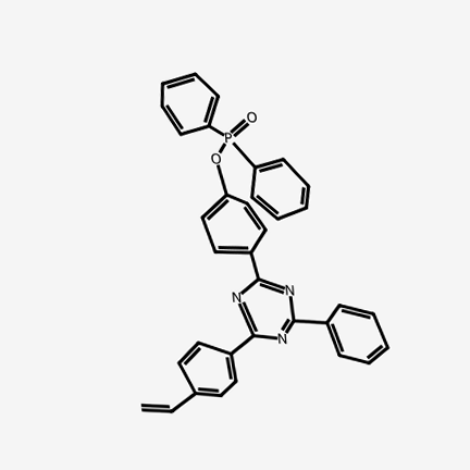 C=Cc1ccc(-c2nc(-c3ccccc3)nc(-c3ccc(OP(=O)(c4ccccc4)c4ccccc4)cc3)n2)cc1